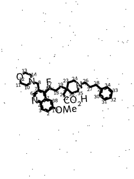 COc1ccc2ncc(CN3CCOCC3)c([C@H](F)CCC3(CC(=O)O)CCN(CCCc4ccccc4)CC3)c2c1